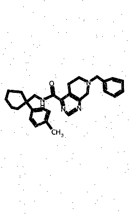 Cc1ccc(C2(CNC(=O)c3ncnc4c3CCN(Cc3ccccc3)C4)CCCCC2)cc1